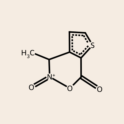 CC1c2ccsc2C(=O)O[N+]1=O